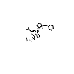 Nc1cc(C2CC2)cn(C[C@@H]2CCCC2OCc2ccccc2)c1=O